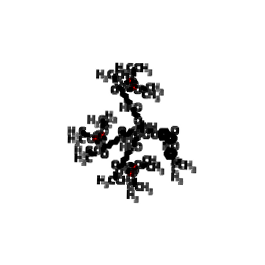 CCN(CC)c1ccc2nc3c4cc(OCC(=O)NC(COCCC(=O)NCCCCC(C(=O)OCC(C)C)N(CC(=O)OCC(C)C)CC(=O)OCC(C)C)(COCCC(=O)NCCCCC(C(=O)OCC(C)C)N(CC(=O)OCC(C)C)CC(=O)OCC(C)C)COCCC(=O)NCCCCC(C(=O)OCC(C)C)N(CC(=O)OCC(C)C)CC(=O)OCC(C)C)ccc4c(=O)cc-3oc2c1